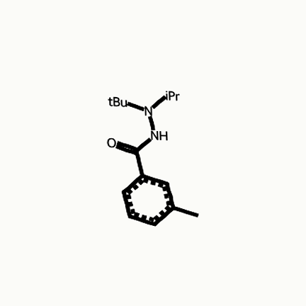 Cc1cccc(C(=O)NN(C(C)C)C(C)(C)C)c1